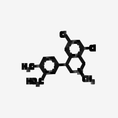 Cc1ccc(C2CN(C)Cc3c(Cl)cc(Cl)cc32)cc1C(=O)O